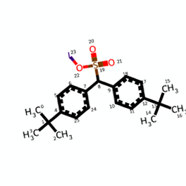 CC(C)(C)c1ccc(C(c2ccc(C(C)(C)C)cc2)S(=O)(=O)OI)cc1